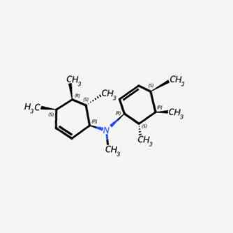 C[C@H]1[C@H](C)[C@@H](N(C)[C@H]2C=C[C@@H](C)[C@@H](C)[C@@H]2C)C=C[C@H]1C